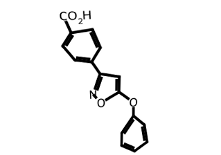 O=C(O)c1ccc(-c2cc(Oc3ccccc3)on2)cc1